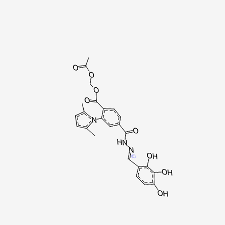 CC(=O)OCOC(=O)c1ccc(C(=O)N/N=C/c2ccc(O)c(O)c2O)cc1-n1c(C)ccc1C